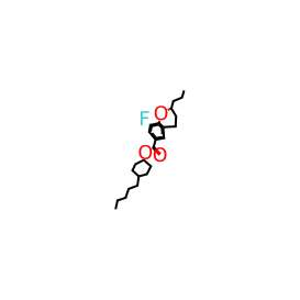 CCCCCC1CCC(OC(=O)c2cc(F)c3c(c2)CCC(CCC)O3)CC1